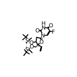 C=C[C@]1(CO[Si](C)(C)C(C)(C)C)O[C@@H](n2cc(F)c(=O)[nH]c2=O)CC1O[Si](C)(C)C(C)(C)C